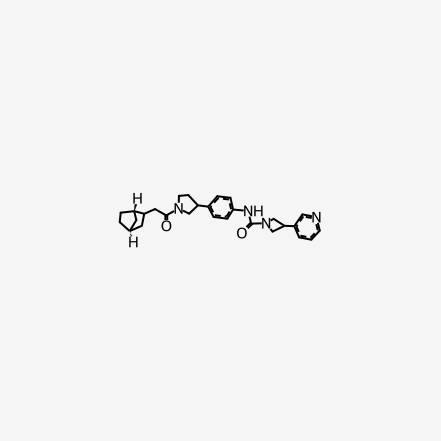 O=C(CC1C[C@H]2CC[C@H]1C2)N1CCC(c2ccc(NC(=O)N3CC(c4cccnc4)C3)cc2)C1